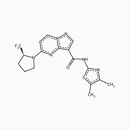 Cc1nc(NC(=O)c2cnn3ccc(N4CCC[C@H]4C(F)(F)F)nc23)sc1C